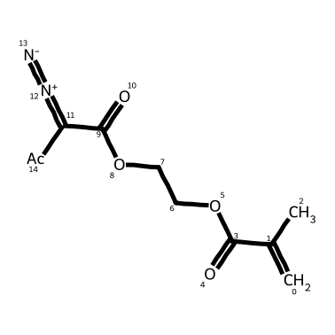 C=C(C)C(=O)OCCOC(=O)C(=[N+]=[N-])C(C)=O